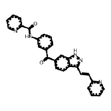 O=C(c1cccc(NC(=O)c2ccccn2)c1)c1ccc2c(/C=C/c3ccccn3)n[nH]c2c1